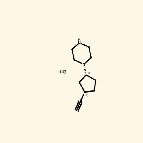 C#C[C@@H]1CC[C@@H](N2CCNCC2)C1.Cl